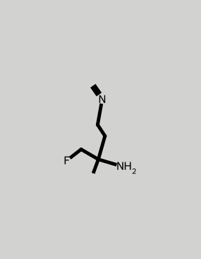 C=NCCC(C)(N)CF